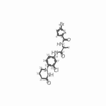 CC(NC(=O)c1ccc(Br)s1)C(=O)Nc1ccc(N2CCCC(=O)N2)c(Cl)c1